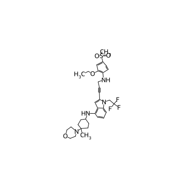 CCOc1cc(S(C)(=O)=O)ccc1NCC#Cc1cc2c(NC3CCC(C)(N4CCOCC4)CC3)cccc2n1CC(F)(F)F